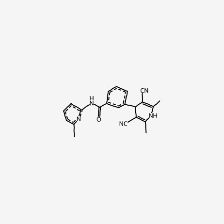 CC1=C(C#N)C(c2cccc(C(=O)Nc3cccc(C)n3)c2)C(C#N)=C(C)N1